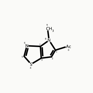 CC(=O)c1cc2scnc2n1C